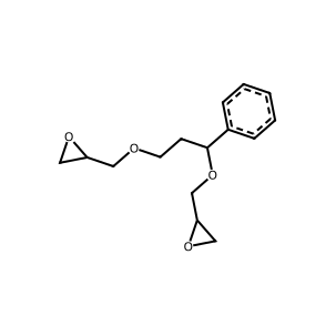 c1ccc(C(CCOCC2CO2)OCC2CO2)cc1